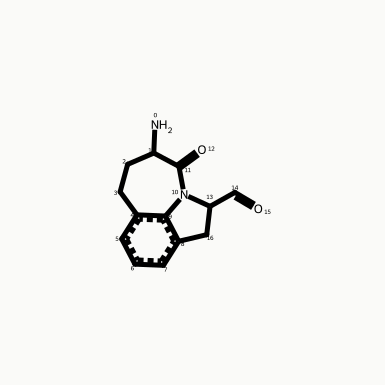 NC1CCc2cccc3c2N(C1=O)C(C=O)C3